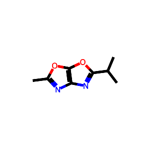 Cc1nc2nc(C(C)C)oc2o1